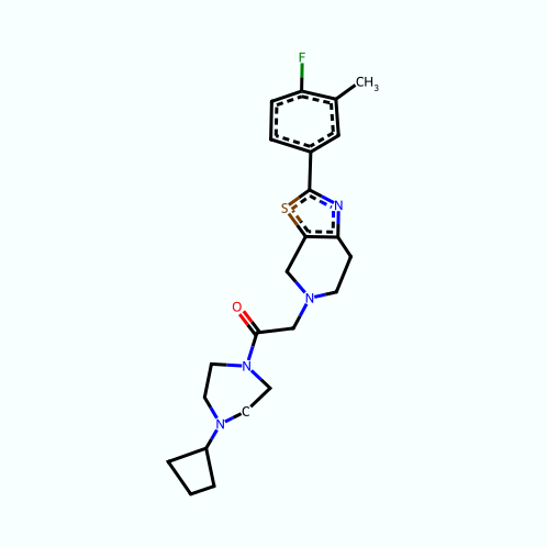 Cc1cc(-c2nc3c(s2)CN(CC(=O)N2CCN(C4CCC4)CC2)CC3)ccc1F